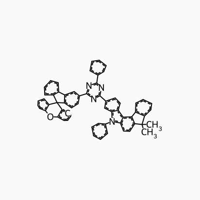 CC1(C)c2ccccc2-c2c1ccc1c2c2ccc(-c3nc(-c4ccccc4)nc(-c4ccc5c(c4)-c4ccccc4C54c5ccccc5Oc5ccccc54)n3)cc2n1-c1ccccc1